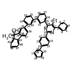 CCc1c(-c2ccccc2)nc(-c2ccc(-c3ccccc3)cc2)nc1-c1cccc(-c2cccc(-c3ccc4c(c3)C(C)(C)c3ccccc3-4)c2)c1